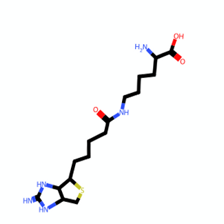 N=C1NC2CSC(CCCCC(=O)NCCCCC(N)C(=O)O)C2N1